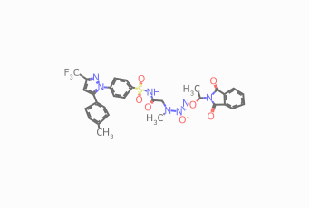 Cc1ccc(-c2cc(C(F)(F)F)nn2-c2ccc(S(=O)(=O)NC(=O)CN(C)[N+]([O-])=NOC(C)N3C(=O)c4ccccc4C3=O)cc2)cc1